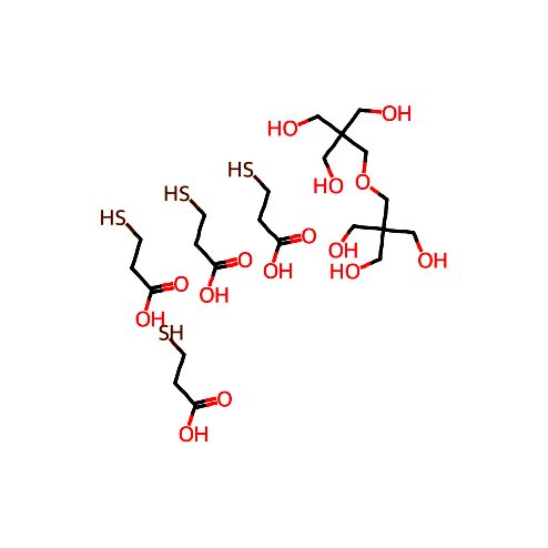 O=C(O)CCS.O=C(O)CCS.O=C(O)CCS.O=C(O)CCS.OCC(CO)(CO)COCC(CO)(CO)CO